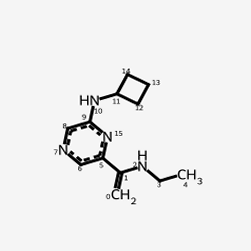 C=C(NCC)c1cncc(NC2CCC2)n1